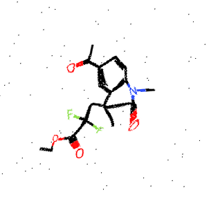 CCOC(=O)C(F)(F)CC1(C)C(=O)N(C)c2ccc(C(C)=O)cc21